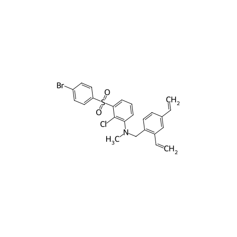 C=Cc1ccc(CN(C)c2cccc(S(=O)(=O)c3ccc(Br)cc3)c2Cl)c(C=C)c1